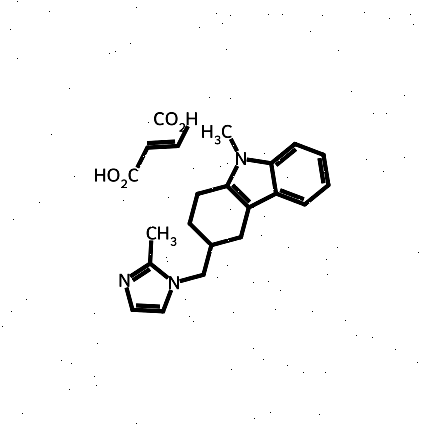 Cc1nccn1CC1CCc2c(c3ccccc3n2C)C1.O=C(O)C=CC(=O)O